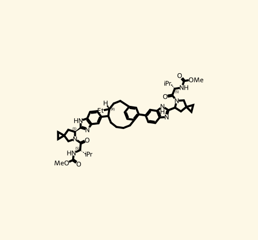 CC[C@@H]1CCc2ccc(c(-c3ccc4nc(C5CC6(CC6)CN5C(=O)[C@@H](NC(=O)OC)C(C)C)[nH]c4c3)c2)CCCCC1c1ccc2[nH]c([C@@H]3CC4(CC4)CN3C(=O)[C@@H](NC(=O)OC)C(C)C)nc2c1